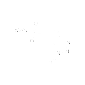 CNS(=O)(=O)c1ccc2nnn(O)c2c1